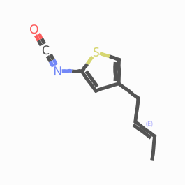 C/C=C/Cc1csc(N=C=O)c1